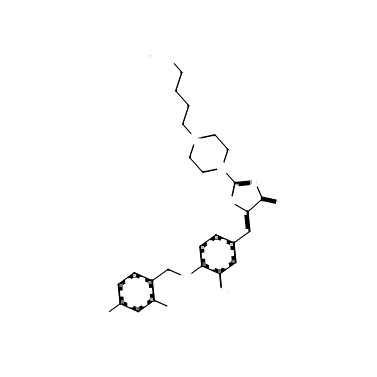 COCCCCN1CCN(C2=NC(=O)/C(=C/c3ccc(OCc4ccc(C(F)(F)F)cc4C(F)(F)F)c(OC)c3)S2)CC1